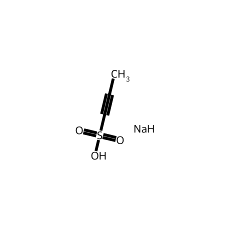 CC#CS(=O)(=O)O.[NaH]